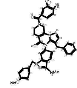 CNc1nn(Cc2ccc(OC)cc2)c2cc(-n3c(=O)c4c(n5ncc(Cc6ccccc6)c35)CN(C(=O)c3ccc(Br)c(C(F)(F)F)c3)CC4)ccc12